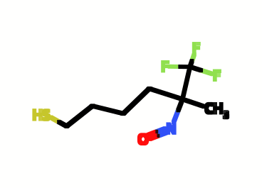 CC(CCCCS)(N=O)C(F)(F)F